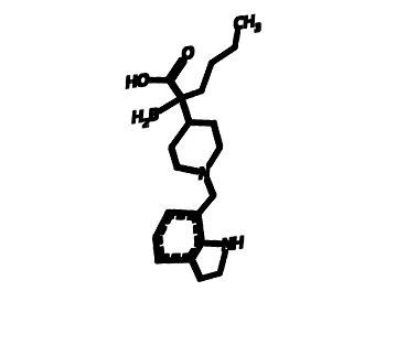 BC(CCCC)(C(=O)O)C1CCN(Cc2cccc3c2NCC3)CC1